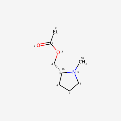 CCC(=O)OC[C@H]1CCCN1C